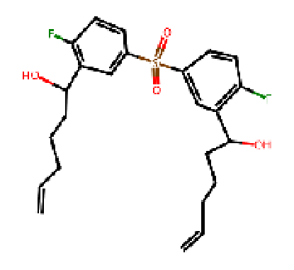 C=CCCCC(O)c1cc(S(=O)(=O)c2ccc(F)c(C(O)CCCC=C)c2)ccc1F